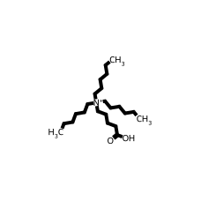 CCCCCC[N+](CCCCCC)(CCCCCC)CCCCC(=O)O